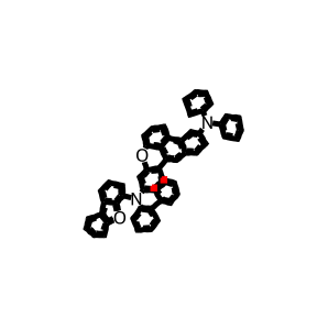 c1ccc(-c2ccccc2N(c2ccc3c(c2)Oc2cccc4c2c-3cc2ccc(N(c3ccccc3)c3ccccc3)cc24)c2cccc3c2oc2ccccc23)cc1